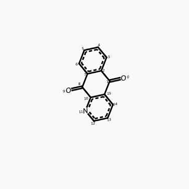 O=C1c2ccccc2C(=O)c2ncccc21